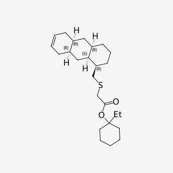 CCC1(OC(=O)CSC[C@@H]2CCC[C@@H]3C[C@@H]4CC=CC[C@@H]4C[C@@H]32)CCCCC1